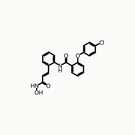 O=C(/C=C/c1ccccc1NC(=O)c1ccccc1Oc1ccc(Cl)cc1)NO